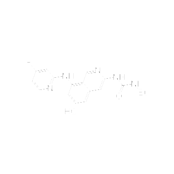 CCNC(=O)Nc1cc2cccc(Nc3cc(F)ccn3)c2cn1.Cl